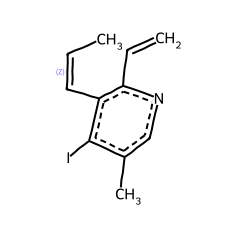 C=Cc1ncc(C)c(I)c1/C=C\C